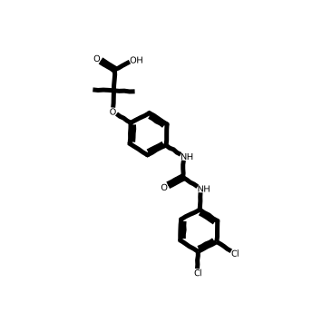 CC(C)(Oc1ccc(NC(=O)Nc2ccc(Cl)c(Cl)c2)cc1)C(=O)O